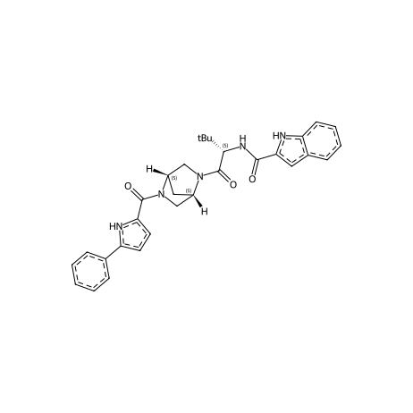 CC(C)(C)[C@H](NC(=O)c1cc2ccccc2[nH]1)C(=O)N1C[C@@H]2C[C@H]1CN2C(=O)c1ccc(-c2ccccc2)[nH]1